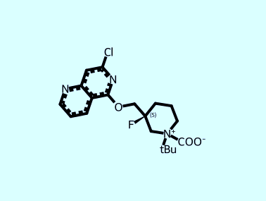 CC(C)(C)[N+]1(C(=O)[O-])CCC[C@@](F)(COc2nc(Cl)cc3ncccc23)C1